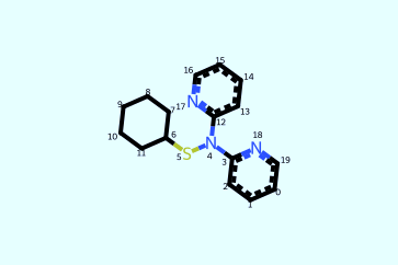 c1ccc(N(SC2CCCCC2)c2ccccn2)nc1